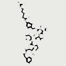 CC[C@H](C)[C@@H]([C@@H](CC(=O)N1CCC[C@H]1[C@H](OC)[C@@H](C)C(=O)N[C@H](C)[C@@H](O)c1ccccc1)OC)N(C)C(=O)[C@@H](NC(=O)[C@H](C(C)C)N(C)C(=O)OCc1ccc(NC(=O)CCCCNC(N)=O)cc1)C(C)C